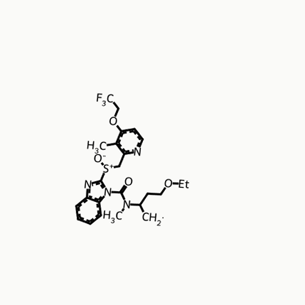 [CH2]C(CCOCC)N(C)C(=O)n1c([S+]([O-])Cc2nccc(OCC(F)(F)F)c2C)nc2ccccc21